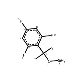 CC(C)(O[SiH3])c1c(F)cc(F)cc1F